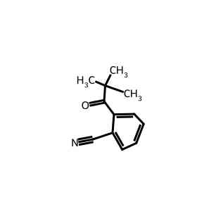 CC(C)(C)C(=O)c1ccccc1C#N